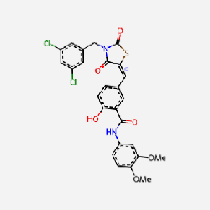 COc1ccc(NC(=O)c2cc(/C=C3/SC(=O)N(Cc4cc(Cl)cc(Cl)c4)C3=O)ccc2O)cc1OC